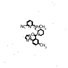 Cc1ccc(-n2nccn2)c(C(=O)N2CCC[C@@H](C)[C@H]2CNc2cccc(C#N)n2)c1